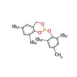 Cc1cc(C(C)(C)C)c(OP2OCc3cc(C(C)(C)C)cc(C(C)(C)C)c3O2)c(C(C)(C)C)c1